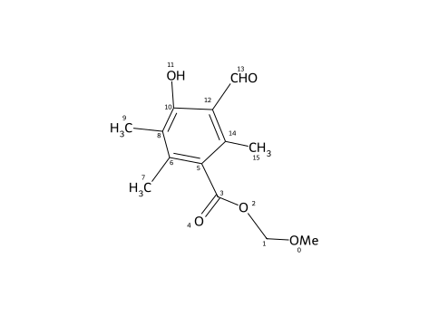 COCOC(=O)c1c(C)c(C)c(O)c(C=O)c1C